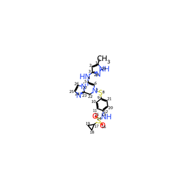 Cc1cc(NC2=CN(Sc3ccc(NS(=O)(=O)C4CC4)cc3)CC3=NC=C[N+]23)n[nH]1